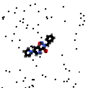 O=NN(Cc1ccccc1)C(=O)c1ccc(N2CCCC2)cn1